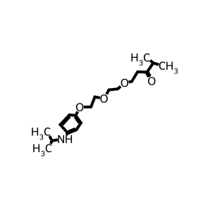 CC(C)Nc1ccc(OCCOCCOCCC(=O)C(C)C)cc1